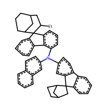 CCC1CC2CCCC(C2)C12c1ccccc1-c1c(N(c3ccc4c(c3)C3(CC5CCC3C5)c3ccccc3-4)c3ccc4ccccc4c3)cccc12